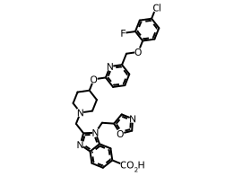 O=C(O)c1ccc2nc(CN3CCC(Oc4cccc(COc5ccc(Cl)cc5F)n4)CC3)n(Cc3cnco3)c2c1